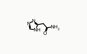 NC(=O)Cc1nnc[nH]1